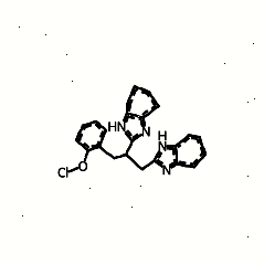 ClOc1ccccc1CC(Cc1nc2ccccc2[nH]1)c1nc2ccccc2[nH]1